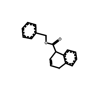 O=C(OCc1ccccc1)C1C=C[CH]c2ccccc21